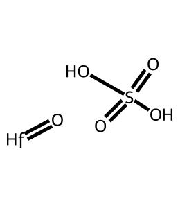 O=S(=O)(O)O.[O]=[Hf]